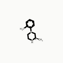 Cc1ccccc1N1CCN[C@H](C)C1